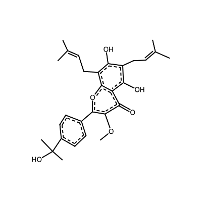 COc1c(-c2ccc(C(C)(C)O)cc2)oc2c(CC=C(C)C)c(O)c(CC=C(C)C)c(O)c2c1=O